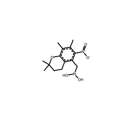 Cc1c(C)c([N+](=O)[O-])c(CN(O)O)c2c1OC(C)(C)CC2